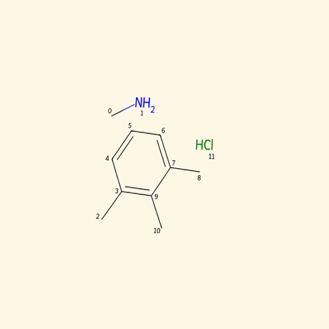 CN.Cc1cccc(C)c1C.Cl